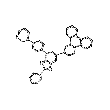 c1ccc(-c2nc3c(-c4ccc(-c5cccnc5)cc4)cc(-c4ccc5c6ccccc6c6ccccc6c5c4)cc3o2)cc1